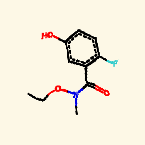 CCON(C)C(=O)c1cc(O)ccc1F